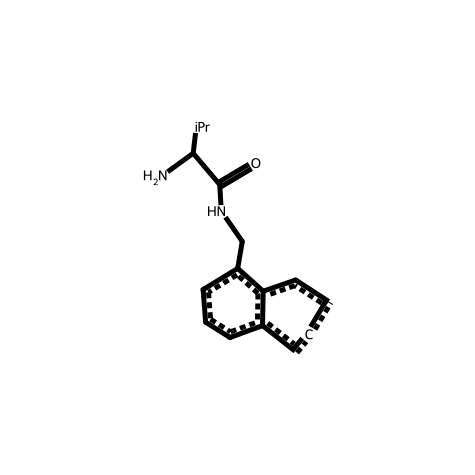 CC(C)C(N)C(=O)NCc1cccc2ccccc12